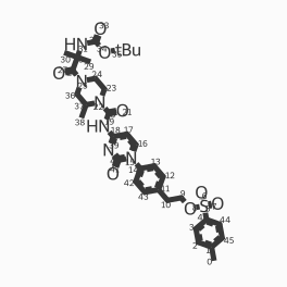 Cc1ccc(S(=O)(=O)OCCc2ccc(-n3ccc(NC(=O)N4CCN(C(=O)C(C)(C)NC(=O)OC(C)(C)C)CC4C)nc3=O)cc2)cc1